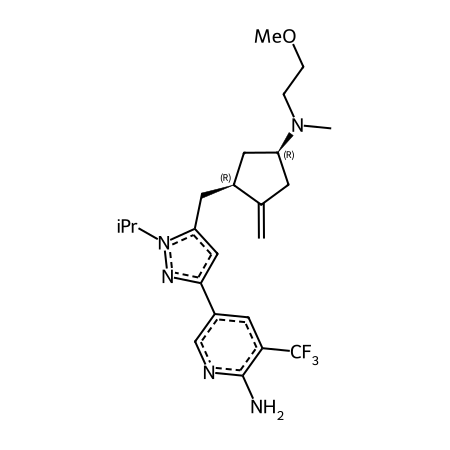 C=C1C[C@H](N(C)CCOC)C[C@@H]1Cc1cc(-c2cnc(N)c(C(F)(F)F)c2)nn1C(C)C